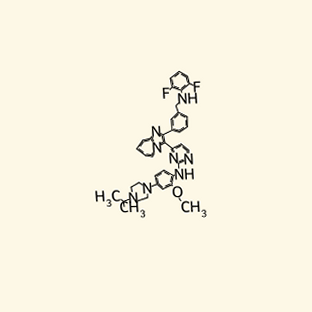 CCOc1cc(N2CCN(C(C)C)CC2)ccc1Nc1nccc(-c2c(-c3cccc(CNc4c(F)cccc4F)c3)nc3ccccn23)n1